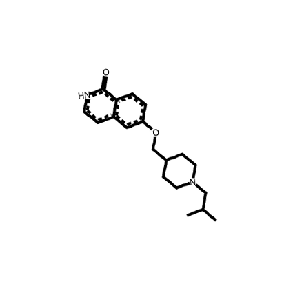 CC(C)CN1CCC(COc2ccc3c(=O)[nH]ccc3c2)CC1